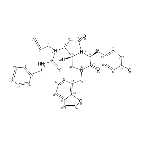 C=CCN(C(=O)NCc1ccccc1)N1CC(=O)N2[C@@H](Cc3ccc(O)cc3)C(=O)N(Cc3cccc4ncoc34)C[C@@H]21